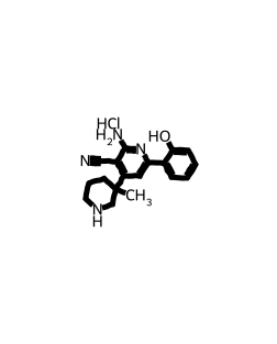 CC1(c2cc(-c3ccccc3O)nc(N)c2C#N)CCCNC1.Cl